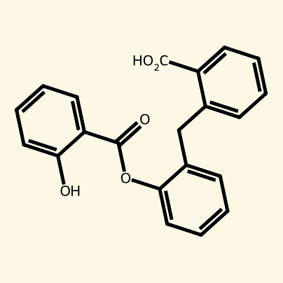 O=C(Oc1ccccc1Cc1ccccc1C(=O)O)c1ccccc1O